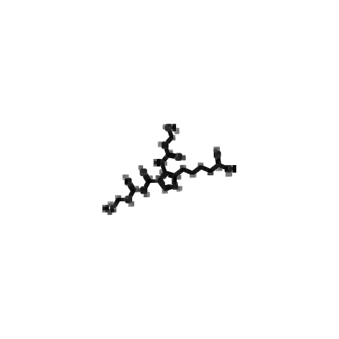 CCOC(=O)Nc1c(C(=O)OC(=O)OCC)csc1CCCCC(=O)O